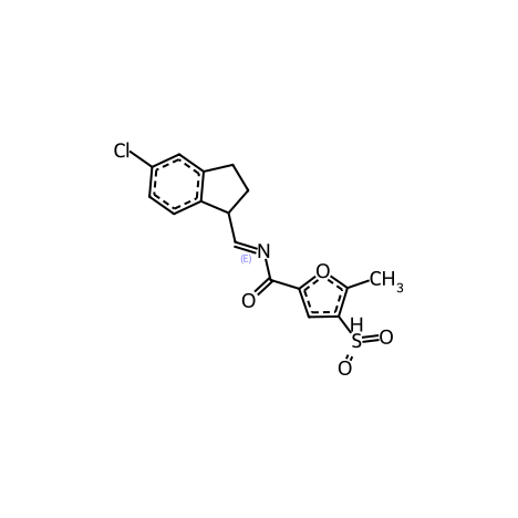 Cc1oc(C(=O)/N=C/C2CCc3cc(Cl)ccc32)cc1[SH](=O)=O